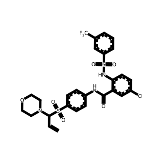 C=CC(N1CCOCC1)S(=O)(=O)c1ccc(NC(=O)c2cc(Cl)ccc2NS(=O)(=O)c2cccc(C(F)(F)F)c2)cc1